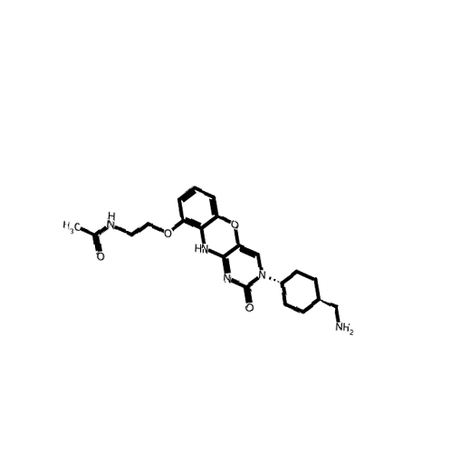 CC(=O)NCCOc1cccc2c1Nc1nc(=O)n([C@H]3CC[C@H](CN)CC3)cc1O2